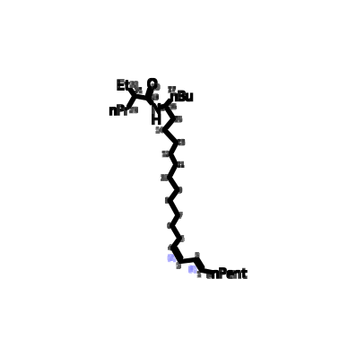 CCCCC/C=C/C=C\CCCCCCCCCCCC(CCCC)NC(=O)C(CC)CCC